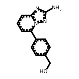 Nc1nc2cccc(-c3ccc(CO)cc3)n2n1